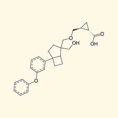 O=C(O)[C@H]1C[C@@H]1COCC1(CO)CCC2(c3cccc(Oc4ccccc4)c3)CCC12